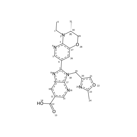 CCN1c2ncc(-c3nc4cc(C(=O)O)cnc4n3Cc3coc(C)n3)cc2OC[C@H]1C